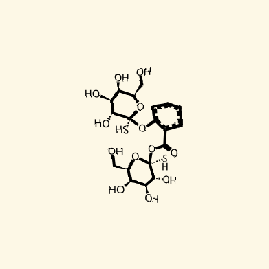 O=C(O[C@]1(S)O[C@H](CO)[C@H](O)[C@H](O)[C@H]1O)c1ccccc1O[C@]1(S)O[C@H](CO)[C@H](O)[C@H](O)[C@H]1O